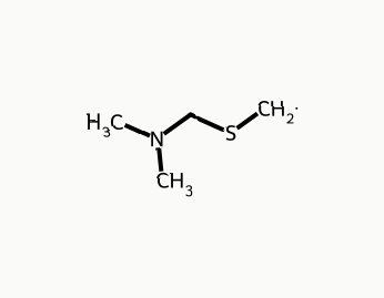 [CH2]SCN(C)C